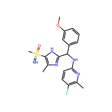 COc1cccc(C(Nc2ccc(F)c(C)n2)c2nc(C)c(S(C)(=N)=O)[nH]2)c1